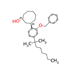 CCCCCCC(C)(C)c1ccc([C@@H]2CCCCC[C@@H](O)C2)c(OCc2ccccc2)c1